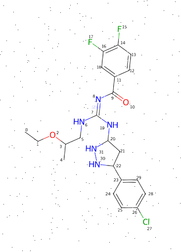 CCOC(C)CN/C(=N/C(=O)c1ccc(F)c(F)c1)NC1CC(c2ccc(Cl)cc2)NN1